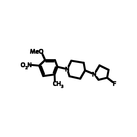 COc1cc(N2CCC(N3CCC(F)C3)CC2)c(C)cc1[N+](=O)[O-]